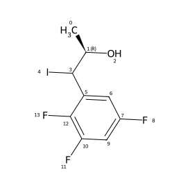 C[C@@H](O)C(I)c1cc(F)cc(F)c1F